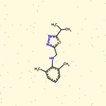 Cc1cccc(C)c1NCc1nnc(C(C)C)s1